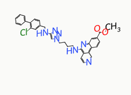 COC(=O)c1ccc2c(c1)nc(NCCCCn1cc(NCc3ccc(-c4ccccc4)c(Cl)c3)nn1)c1ccncc12